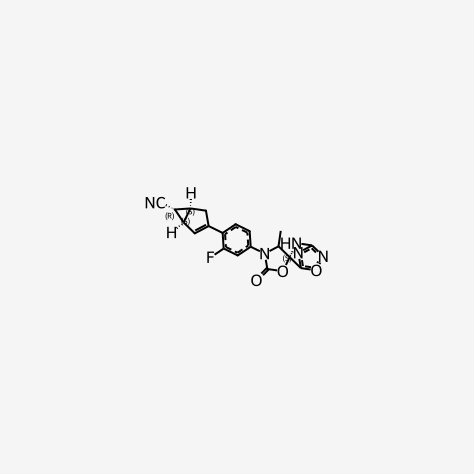 CC1N(c2ccc(C3=C[C@H]4[C@H](C#N)[C@H]4C3)c(F)c2)C(=O)O[C@@]12Nc1noc2n1